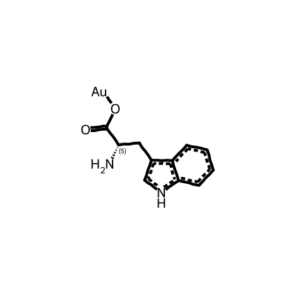 N[C@@H](Cc1c[nH]c2ccccc12)C(=O)[O][Au]